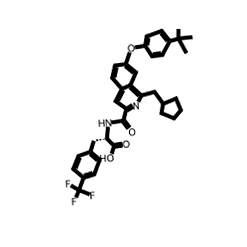 CC(C)(C)c1ccc(Oc2ccc3cc(C(=O)N[C@@H](Cc4ccc(C(F)(F)F)cc4)C(=O)O)nc(CC4CCCC4)c3c2)cc1